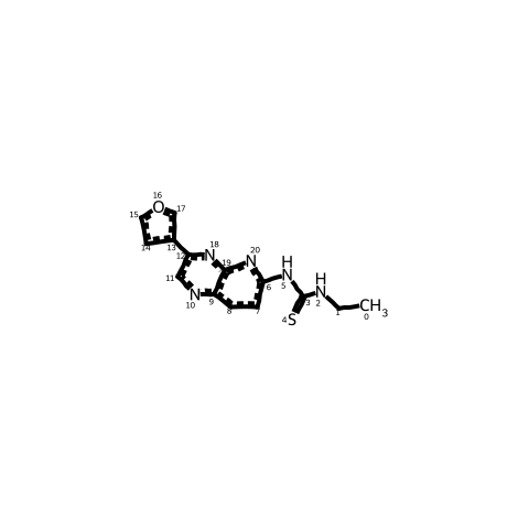 CCNC(=S)Nc1ccc2ncc(-c3ccoc3)nc2n1